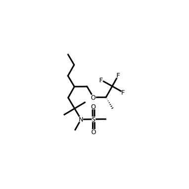 CCCC(CO[C@@H](C)C(F)(F)F)CC(C)(C)N(C)S(C)(=O)=O